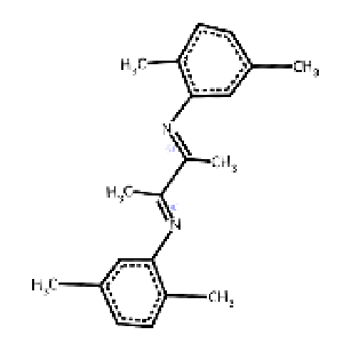 CC(=N\c1cc(C)ccc1C)/C(C)=N/c1cc(C)ccc1C